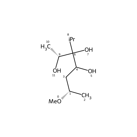 CO[C@@H](C)CC(O)C(O)(C(C)C)[C@@H](C)O